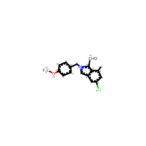 Cc1cc(Cl)cc2cn(Cc3ccc(OC(F)(F)F)cc3)c(C=O)c12